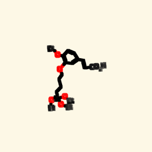 CCOc1ccc(C=CC(=O)O)cc1OCCCC[Si](OCC)(OCC)OCC